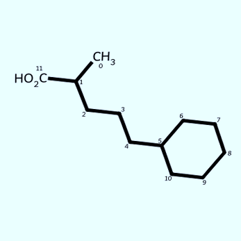 CC(CCC[C]1CCCCC1)C(=O)O